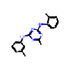 Cc1cccc(Nc2nc(C)nc(Nc3ccccc3C)n2)c1